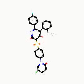 COc1cccc(OC)c1-c1c(-c2ccc(F)cc2)[nH]c(=O)c(S(=O)(=O)c2ccc(-n3cc(Cl)ccc3=O)cc2)c1O